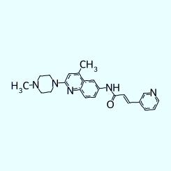 Cc1cc(N2CCN(C)CC2)nc2ccc(NC(=O)C=Cc3cccnc3)cc12